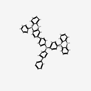 c1ccc(-c2ccc(N(c3ccc(-c4ccc5c(c4)Oc4ccccc4N5c4ccccc4)cc3)c3ccc(N4c5ccccc5Oc5ccccc54)cc3)cc2)cc1